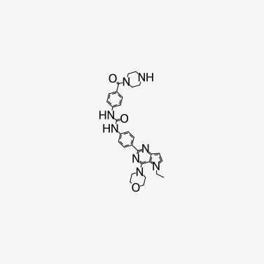 CCn1ccc2nc(-c3ccc(NC(=O)Nc4ccc(C(=O)N5CCNCC5)cc4)cc3)nc(N3CCOCC3)c21